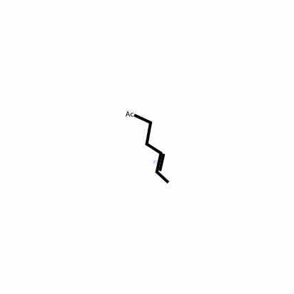 C/C=C/CCC(C)=O